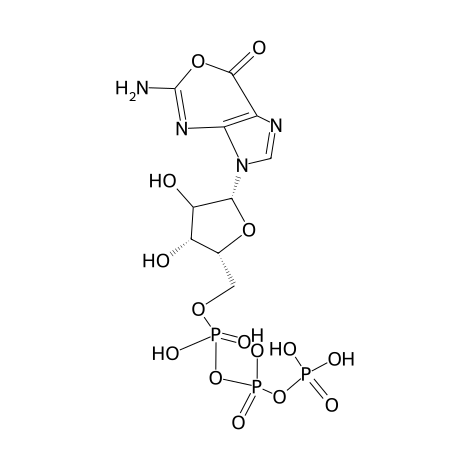 Nc1nc2c(ncn2[C@@H]2O[C@H](COP(=O)(O)OP(=O)(O)OP(=O)(O)O)[C@H](O)C2O)c(=O)o1